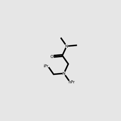 CCCN(CC(=O)N(C)C)CC(C)C